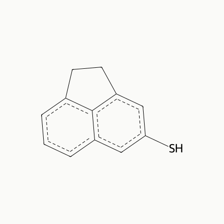 Sc1cc2c3c(cccc3c1)CC2